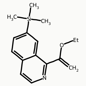 C=C(OCC)c1nccc2ccc([Si](C)(C)C)cc12